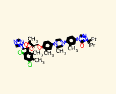 CCC(C(C)C)n1ncn(-c2ccc(N3CCN(c4ccc(OC[C@H]5O[C@](Cn6cncn6)(c6c(Cl)cc(Cl)c(C)c6C)OC5C)c(C)c4)C(C)C3)c(C)c2)c1=O